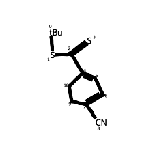 CC(C)(C)SC(=S)C1=CC=C(C#N)CC1